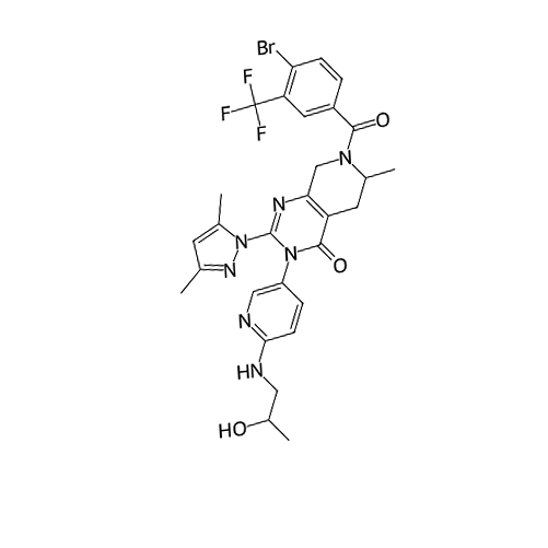 Cc1cc(C)n(-c2nc3c(c(=O)n2-c2ccc(NCC(C)O)nc2)CC(C)N(C(=O)c2ccc(Br)c(C(F)(F)F)c2)C3)n1